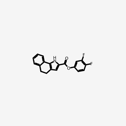 O=C(Oc1ccc(F)c(F)c1)c1cc2c([nH]1)-c1ccccc1CC2